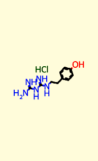 Cl.N=C(N)NC(=N)NCCc1ccc(O)cc1